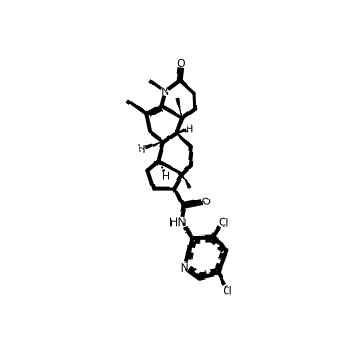 CC1=C2N(C)C(=O)CC[C@]2(C)[C@@H]2CC[C@]3(C)C(C(=O)Nc4ncc(Cl)cc4Cl)CC[C@H]3[C@@H]2C1